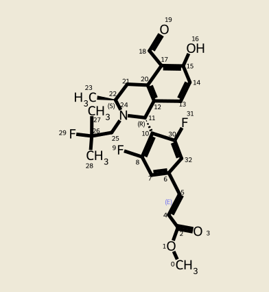 COC(=O)/C=C/c1cc(F)c([C@H]2c3ccc(O)c(C=O)c3C[C@H](C)N2CC(C)(C)F)c(F)c1